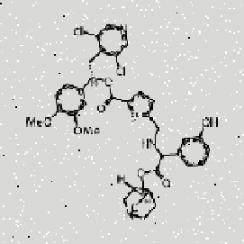 COc1ccc([C@H](Cc2c(Cl)cncc2Cl)OC(=O)c2ccc(CNC(C(=O)O[C@H]3CN4CCC3CC4)c3cccc(O)c3)s2)cc1OC